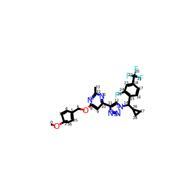 COc1ccc(COc2cc(-c3cn(C(c4ccc(C(F)(F)F)cc4F)C4CC4)nn3)nc(C)n2)cc1